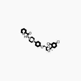 C[C@]1(c2ccc(Cl)cc2Cl)OC[C@@H](COc2ccc(N3CCN(NC(=O)c4ccccn4)CC3)cc2)O1